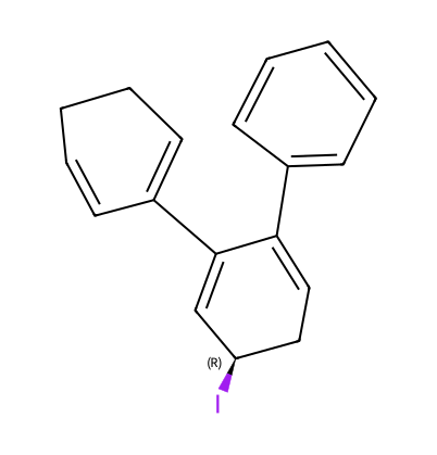 I[C@H]1C=C(C2=CCCC=C2)C(c2ccccc2)=CC1